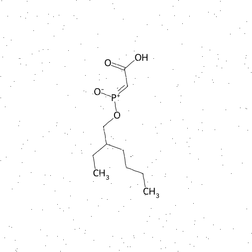 CCCCC(CC)CO/[P+]([O-])=C/C(=O)O